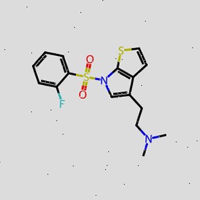 CN(C)CCc1cn(S(=O)(=O)c2ccccc2F)c2sccc12